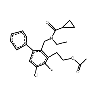 CCN(Cc1c(-c2ccccc2)cc(Cl)c(F)c1CCOC(C)=O)C(=O)C1CC1